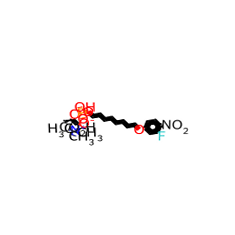 C[N+](C)(C)C([O-])[C@@H](CC(=O)O)OP(=O)(O)OCCCCCCCCOc1ccc([N+](=O)[O-])c(F)c1